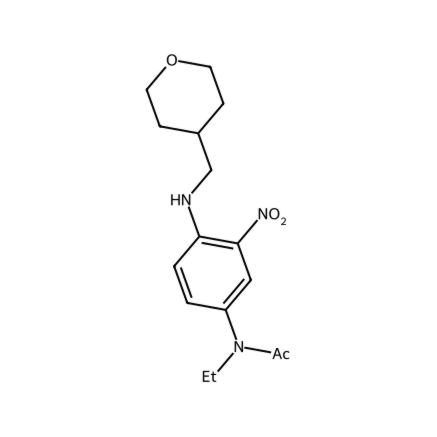 CCN(C(C)=O)c1ccc(NCC2CCOCC2)c([N+](=O)[O-])c1